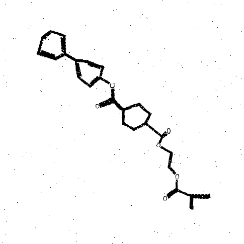 C=C(C)C(=O)OCCOC(=O)C1CCC(C(=O)Oc2ccc(-c3ccccc3)cc2)CC1